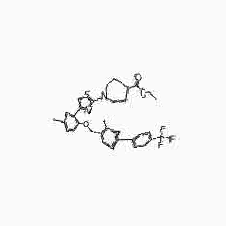 CCOC(=O)C1CCN(c2nc(-c3cc(C)ccc3OCc3ccc(-c4ccc(C(F)(F)F)cc4)cc3C)cs2)CC1